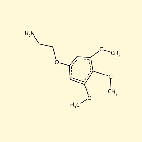 COc1cc(OCCN)cc(OC)c1OC